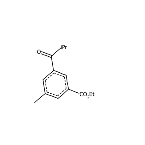 CCOC(=O)c1cc(C)cc(C(=O)C(C)C)c1